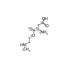 CNCCOC(=O)[C@H](N)CC(=O)O